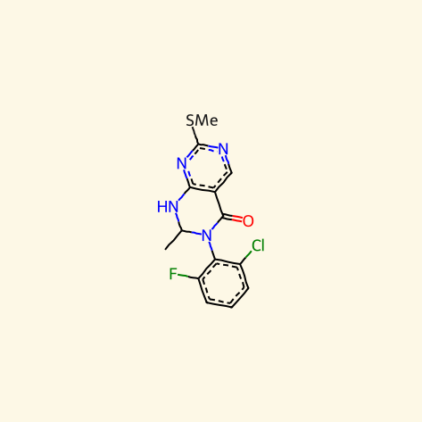 CSc1ncc2c(n1)NC(C)N(c1c(F)cccc1Cl)C2=O